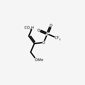 COCC(=CC(=O)O)OS(=O)(=O)C(F)(F)F